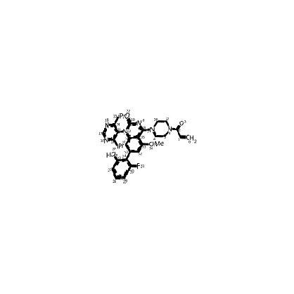 C=CC(=O)N1CCN(c2nc(=O)n(-c3c(C(C)C)ncnc3C(C)C)c3cc(-c4c(O)cccc4F)cc(OC)c23)CC1